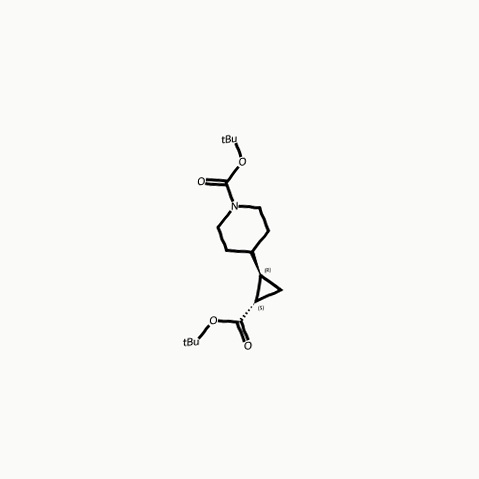 CC(C)(C)OC(=O)[C@H]1C[C@@H]1C1CCN(C(=O)OC(C)(C)C)CC1